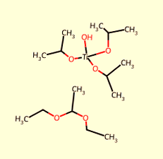 CC(C)[O][Ti]([OH])([O]C(C)C)[O]C(C)C.CCOC(C)OCC